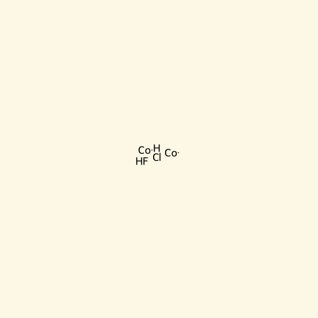 Cl.F.[Co].[Co]